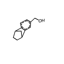 OCc1ccc2c(c1)C1CCC2C1